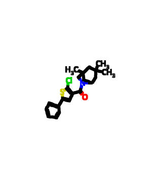 CC1(C)CC2CC(C)(CN2C(=O)c2cc(-c3ccccc3)sc2Cl)C1